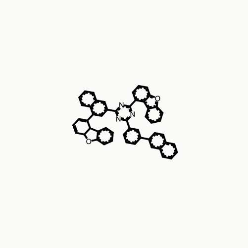 C1=CC2Oc3ccccc3C2C(c2cc(-c3nc(-c4cccc(-c5ccc6ccccc6c5)c4)nc(-c4cccc5oc6ccccc6c45)n3)cc3ccccc23)=C1